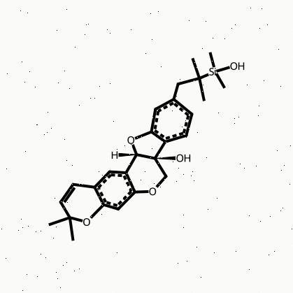 CC1(C)C=Cc2cc3c(cc2O1)OC[C@@]1(O)c2ccc(CC(C)(C)[Si](C)(C)O)cc2O[C@@H]31